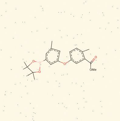 COC(=O)c1cc(Oc2cc(C)cc(B3OC(C)(C)C(C)(C)O3)c2)ccc1C